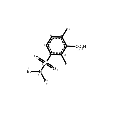 CCN(CC)S(=O)(=O)c1ccc(C)c(C(=O)O)c1C